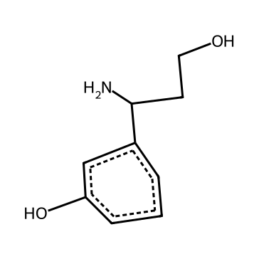 NC(CCO)c1cccc(O)c1